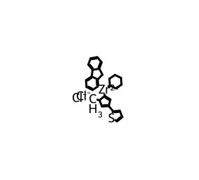 CC1C=C(c2cccs2)C=[C]1[Zr+2](=[C]1CCCCC1)[c]1cccc2c1Cc1ccccc1-2.[Cl-].[Cl-]